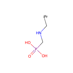 CC(C)CNCP(=O)(O)O